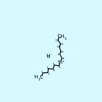 CCCCCC[CH2][In+][CH2]CCCCCC.[H-]